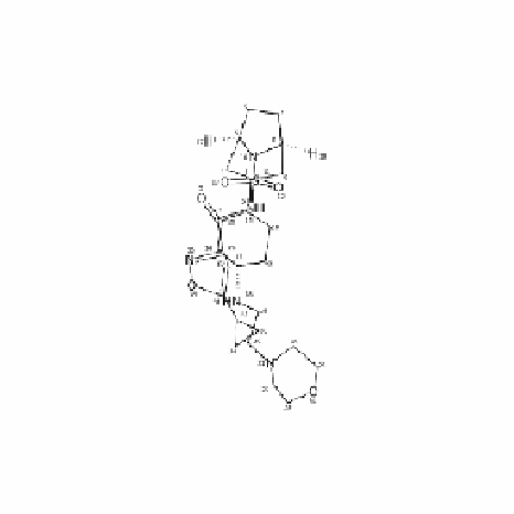 O=C(N[C@H]1C[C@H]2CC[C@@H](C1)N2S(=O)(=O)[C@H]1CC[C@@H](NCCN2CCOCC2)CC1)c1cc(C2CC2)on1